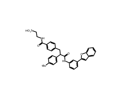 CC(C)(C)c1ccc(C(Cc2ccc(C(=O)NCCS(=O)(=O)O)cc2)C(=O)Nc2cccc(-c3cc4ccccc4o3)c2)cc1